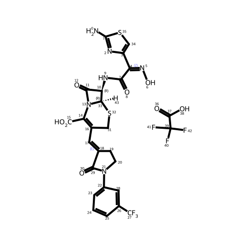 Nc1nc(/C(=N/O)C(=O)N[C@@H]2C(=O)N3C(C(=O)O)=C(/C=C4\CCN(c5cccc(C(F)(F)F)c5)C4=O)CS[C@H]23)cs1.O=C(O)C(F)(F)F